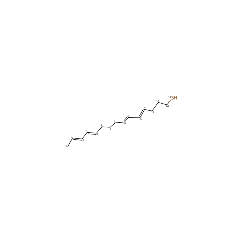 C/C=C/C=C/CCC/C=C/C=C/CCCS